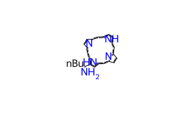 CCCCC(N)c1cc2cc3nc(cc4ccc(cc5nc(cc1[nH]2)C=C5)[nH]4)C=C3